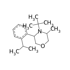 CC(C)c1ccccc1C1COCC(C)N1C(C)(C)C